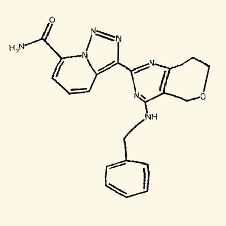 NC(=O)c1cccc2c(-c3nc4c(c(NCc5ccccc5)n3)COCC4)nnn12